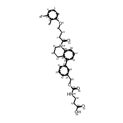 Cc1c(F)cccc1OCCCC(=O)N1CCCc2c(-c3cccc(COC(=O)NCCC(=O)O)c3)cccc21